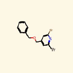 CC(C)c1cc(COCc2ccccc2)cc(Br)n1